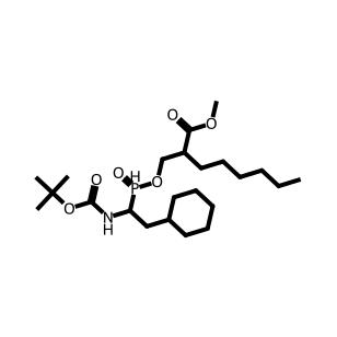 CCCCCCC(CO[PH](=O)C(CC1CCCCC1)NC(=O)OC(C)(C)C)C(=O)OC